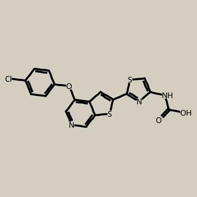 O=C(O)Nc1csc(-c2cc3c(Oc4ccc(Cl)cc4)cncc3s2)n1